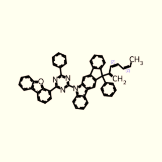 C=C(/C=C\C=C/C)C1(c2ccccc2)c2ccccc2-c2cc3c(cc21)c1ccccc1n3-c1nc(-c2ccccc2)nc(-c2cccc3c2oc2ccccc23)n1